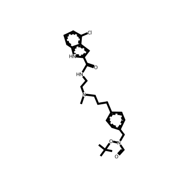 CN(CCCc1ccc(CN(C=O)OC(C)(C)C)cc1)CCNC(=O)c1cc2c(Cl)cccc2[nH]1